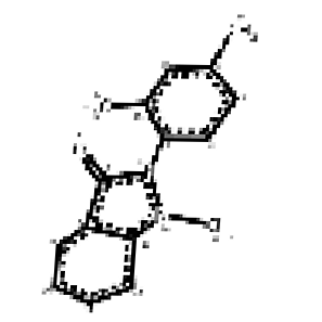 Cc1ccc(-n2c(=O)c3ccccc3n2C)c(C)c1